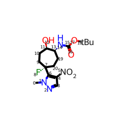 Cn1ncc([N+](=O)[O-])c1[C@@]1(F)CC[C@@H](O)[C@H](NC(=O)OC(C)(C)C)CC1